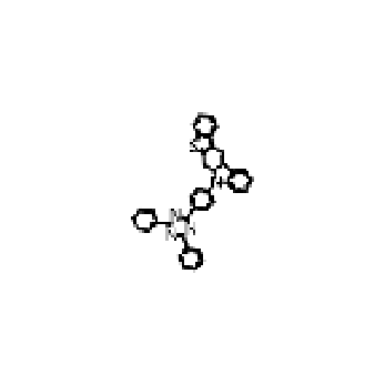 C1=CC(c2nc(-c3ccccc3)nc(-c3ccc(N4c5ccccc5C5=Cc6c(sc7ccccc67)CC54)cc3)n2)=CCC1